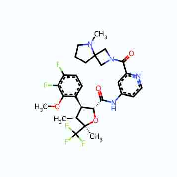 COc1c([C@H]2[C@H](C(=O)Nc3ccnc(C(=O)N4CC5(CCCN5C)C4)c3)O[C@@](C)(C(F)(F)F)[C@H]2C)ccc(F)c1F